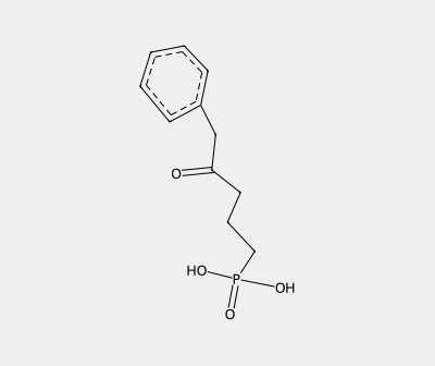 O=C(CCCP(=O)(O)O)Cc1ccccc1